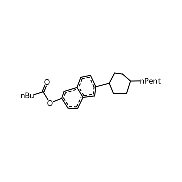 CCCCCC1CCC(c2ccc3cc(OC(=O)CCCC)ccc3c2)CC1